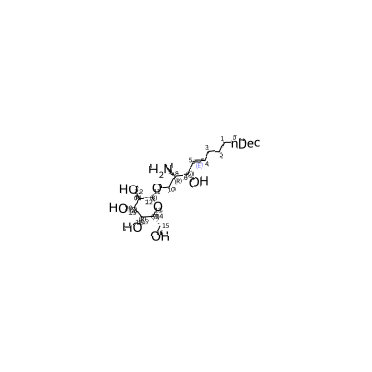 CCCCCCCCCCCCC/C=C/[C@H](O)[C@H](N)CO[C@@H]1O[C@H](CO)[C@H](O)[C@H](O)[C@H]1O